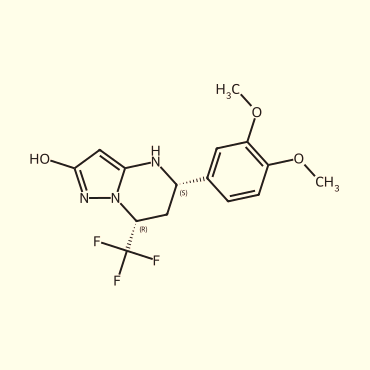 COc1ccc([C@@H]2C[C@H](C(F)(F)F)n3nc(O)cc3N2)cc1OC